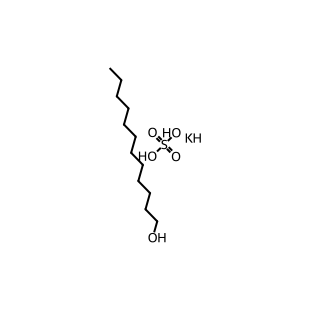 CCCCCCCCCCCCO.O=S(=O)(O)O.[KH]